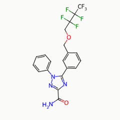 NC(=O)c1nc(-c2cccc(COCC(F)(F)C(F)(F)C(F)(F)F)c2)n(-c2ccccc2)n1